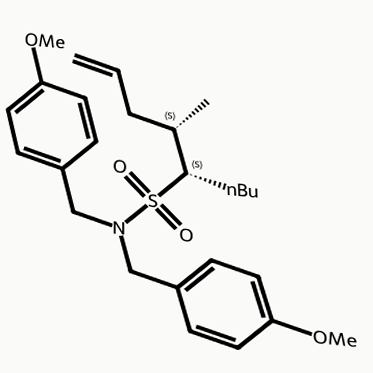 C=CC[C@H](C)[C@H](CCCC)S(=O)(=O)N(Cc1ccc(OC)cc1)Cc1ccc(OC)cc1